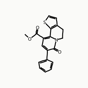 COC(=O)c1cc(-c2ccccc2)c(=O)n2c1-c1sccc1CC2